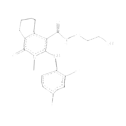 Cn1c(Nc2ccc(I)cc2Cl)c(C(=O)NOCCO)c2c(c1=O)CCC2